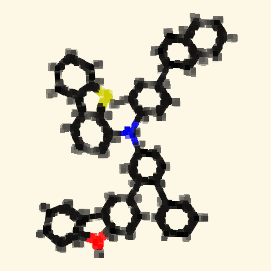 c1ccc(-c2ccc(N(c3ccc(-c4ccc5ccccc5c4)cc3)c3cccc4c3sc3ccccc34)cc2-c2ccc3oc4ccccc4c3c2)cc1